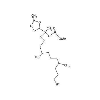 C=C1OCC(C(C)(CCCC(C)CCCC(C)CCCC(C)C)OC(=O)OC)O1